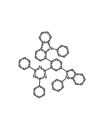 c1ccc(-c2nc(-c3ccccc3)nc(-c3cc(-c4cc5ccccc5n4-c4ccccc4)ccc3-c3cccc4c5ccccc5n(-c5ccccc5)c34)n2)cc1